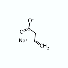 C=CCS(=O)[O-].[Na+]